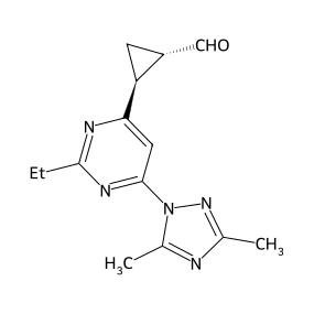 CCc1nc([C@H]2C[C@@H]2C=O)cc(-n2nc(C)nc2C)n1